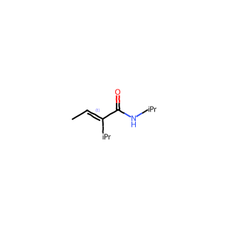 C/C=C(/C(=O)NC(C)C)C(C)C